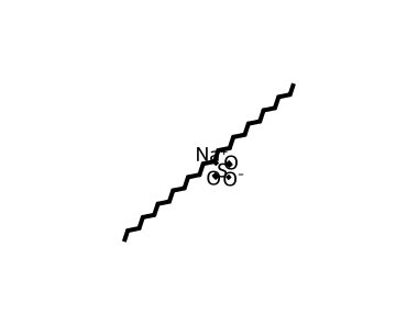 CCCCCCCCCCCCC(CCCCCCCCCCC)S(=O)(=O)[O-].[Na+]